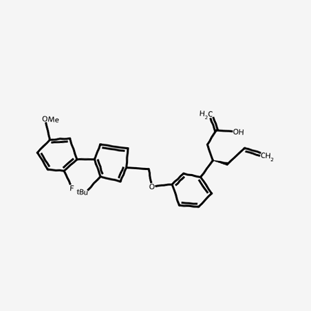 C=CC[C@H](CC(=C)O)c1cccc(OCc2ccc(-c3cc(OC)ccc3F)c(C(C)(C)C)c2)c1